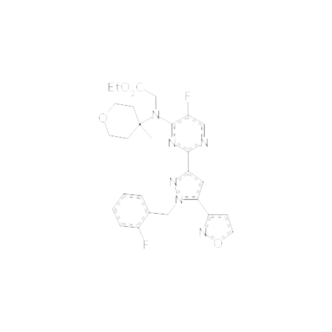 CCOC(=O)CN(c1nc(-c2cc(-c3ccon3)n(Cc3ccccc3F)n2)ncc1F)C1(C)CCOCC1